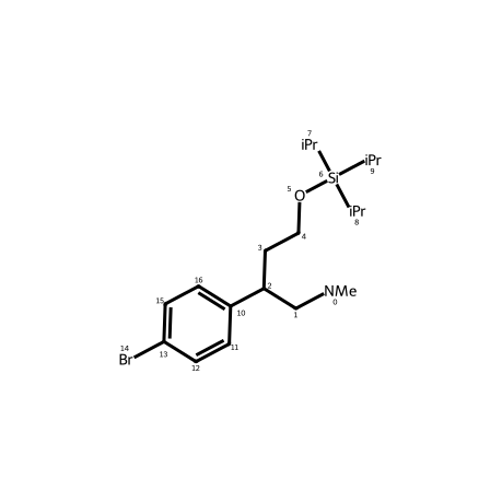 CNCC(CCO[Si](C(C)C)(C(C)C)C(C)C)c1ccc(Br)cc1